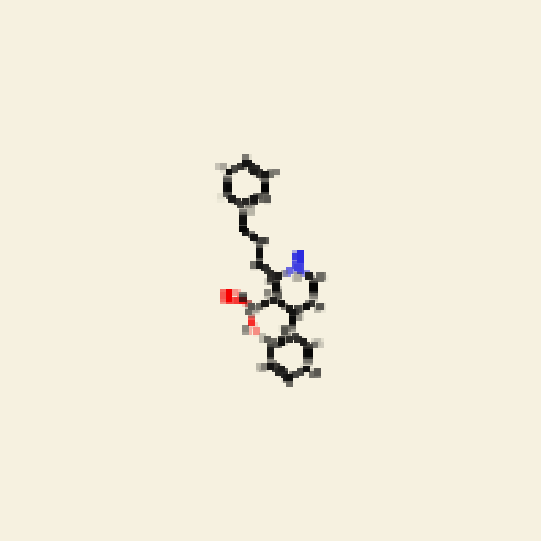 O=C(O)C1=C(CCCc2ccccc2)NC=CC1c1ccccc1